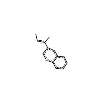 [CH2]/C=C(\F)c1cnc2ccccc2c1